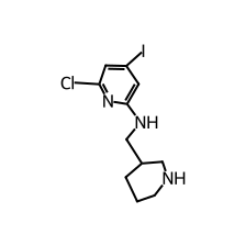 Clc1cc(I)cc(NCC2CCCNC2)n1